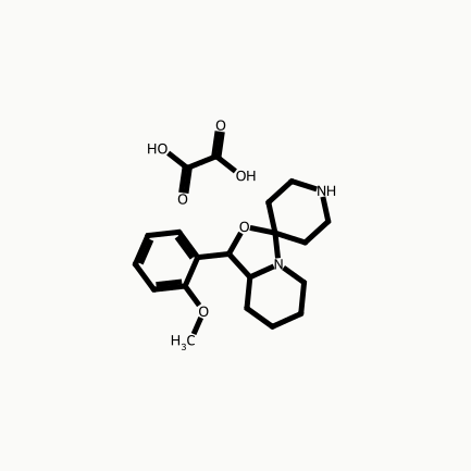 COc1ccccc1C1OC2(CCNCC2)N2CCCCC12.O=C(O)C(=O)O